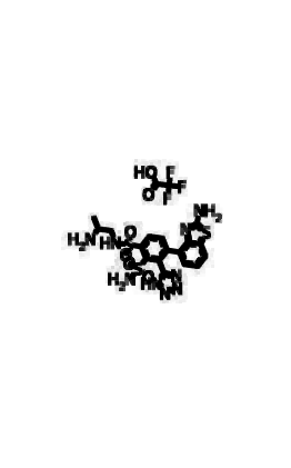 CC(N)CNS(=O)(=O)c1ccc(-c2cccc3sc(N)nc23)c(-c2nnn[nH]2)c1S(N)(=O)=O.O=C(O)C(F)(F)F